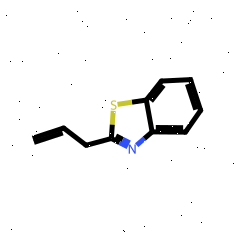 C=CCc1nc2ccccc2s1